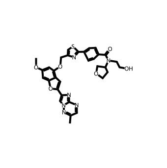 COc1cc(OCc2csc(-c3ccc(C(=O)N(CCO)C4CCOC4)cc3)n2)c2cc(-c3cn4nc(C)cnc4n3)oc2c1